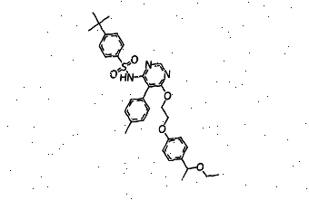 CCOC(C)c1ccc(OCCOc2ncnc(NS(=O)(=O)c3ccc(C(C)(C)C)cc3)c2-c2ccc(C)cc2)cc1